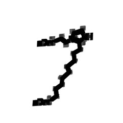 CCCCCCCCCCCCCCCCCCCc1[nH]cc[n+]1CCCCCCCCCCCC